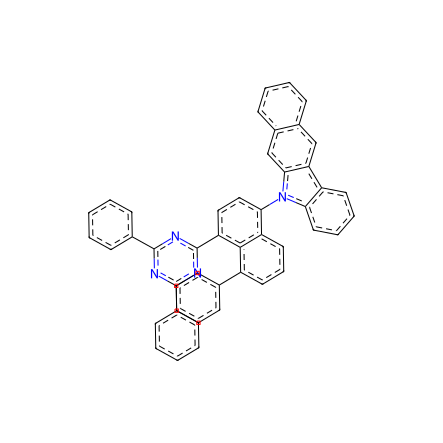 c1ccc(-c2nc(-c3ccccc3)nc(-c3ccc(-n4c5ccccc5c5cc6ccccc6cc54)c4cccc(-c5ccccc5)c34)n2)cc1